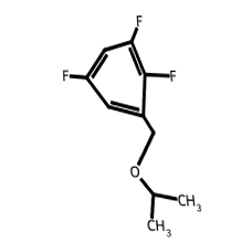 CC(C)OCc1cc(F)cc(F)c1F